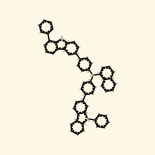 c1ccc(-c2cccc3c2oc2ccc(-c4ccc(N(c5ccc(-c6ccc7c8ccccc8n(-c8ccccc8)c7c6)cc5)c5cccc6ccccc56)cc4)cc23)cc1